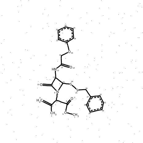 C=C(C)C(C(=O)OC)N1C(=O)C(NC(=O)COc2ccccc2)C1SSCc1ccccc1